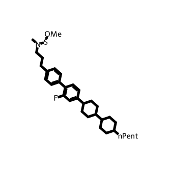 CCCCCC1CCC(C2CCC(c3ccc(-c4ccc(CCCN(C)SOC)cc4)c(F)c3)CC2)CC1